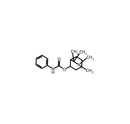 CN1C2(C)CCC(C(OC(=O)Nc3ccccc3)C2)C1(C)C